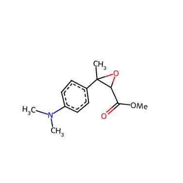 COC(=O)C1OC1(C)c1ccc(N(C)C)cc1